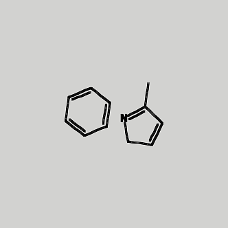 CC1=NCC=C1.c1ccccc1